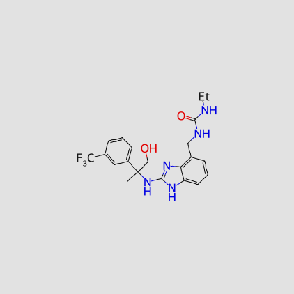 CCNC(=O)NCc1cccc2[nH]c(NC(C)(CO)c3cccc(C(F)(F)F)c3)nc12